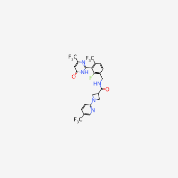 O=C(NCc1ccc(C(F)(F)F)c(-c2nc(C(F)(F)F)cc(=O)[nH]2)c1F)C1CN(c2ccc(C(F)(F)F)cn2)C1